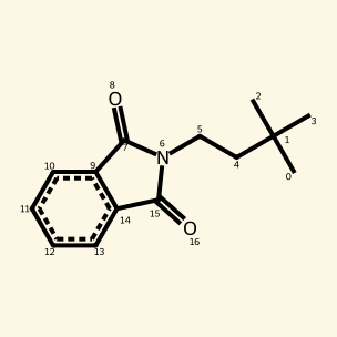 CC(C)(C)CCN1C(=O)c2ccccc2C1=O